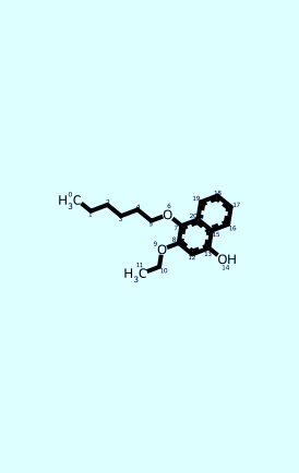 CCCCCCOc1c(OCC)cc(O)c2ccccc12